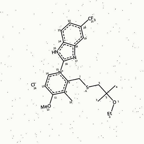 CCOC(C)(C)CSCc1c(C)c(OC)cc[n+]1-c1nc2cc(C(F)(F)F)ccc2[nH]1.[Cl-]